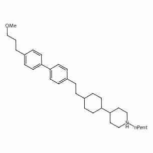 CCCCC[SiH]1CCC(C2CCC(CCc3ccc(-c4ccc(CCCOC)cc4)cc3)CC2)CC1